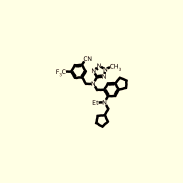 CCN(CC1CCCC1)c1cc2c(cc1CN(Cc1cc(C#N)cc(C(F)(F)F)c1)c1nnn(C)n1)CCC2